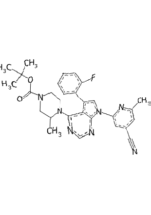 Cc1cc(C#N)cc(-n2cc(-c3ccccc3F)c3c(N4CCN(C(=O)OC(C)(C)C)CC4C)ncnc32)n1